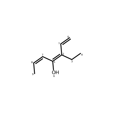 C=C/C(CC)=C(O)\C=C/C